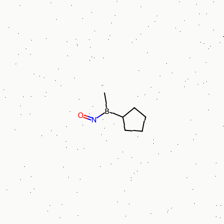 CB(N=O)C1CCCC1